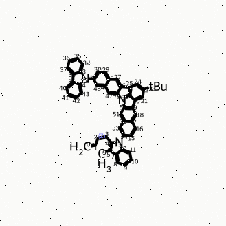 C=C/C=C\c1c(C)c2ccccc2n1-c1ccc2cc3c4cc(C(C)(C)C)cc5c6cc7ccc(-n8c9ccccc9c9ccccc98)cc7cc6n(c3cc2c1)c45